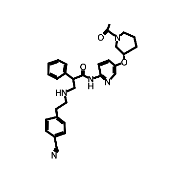 CC(=O)N1CCC[C@@H](Oc2ccc(NC(=O)C(CNCCc3ccc(C#N)cc3)c3ccccc3)nc2)C1